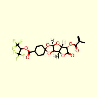 C=C(C)C(=O)O[C@@H]1C(=O)O[C@@H]2[C@H]3OC4(CCC(C(=O)OC(C(F)(F)F)C(F)(F)F)CC4)O[C@H]3O[C@@H]21